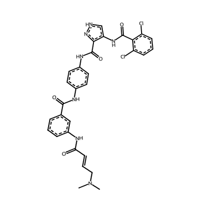 CN(C)C/C=C/C(=O)Nc1cccc(C(=O)Nc2ccc(NC(=O)c3n[nH]cc3NC(=O)c3c(Cl)cccc3Cl)cc2)c1